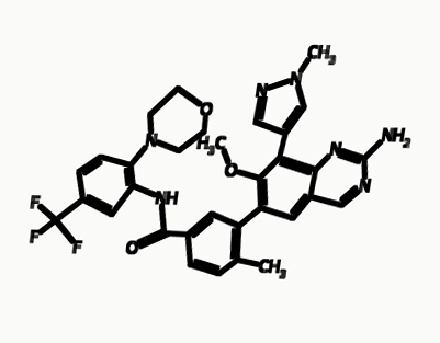 COc1c(-c2cc(C(=O)Nc3cc(C(F)(F)F)ccc3N3CCOCC3)ccc2C)cc2cnc(N)nc2c1-c1cnn(C)c1